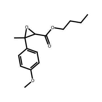 CCCCOC(=O)C1OC1(C)c1ccc(OC)cc1